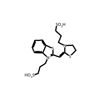 O=S(=O)(O)CCCN1CCSC1=Cc1sc2ccccc2[n+]1CCCS(=O)(=O)O